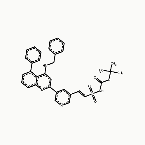 CC(C)(C)OC(=O)NS(=O)(=O)C=Cc1cncc(-c2nc(NCc3ccccn3)c3c(-c4ccccc4)cccc3n2)c1